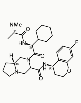 CN[C@@H](C)C(=O)N[C@H](C(=O)N1C[C@H]2CCCN2CC1C(=O)N[C@@H]1CCOc2cc(F)ccc21)C1CCCCC1